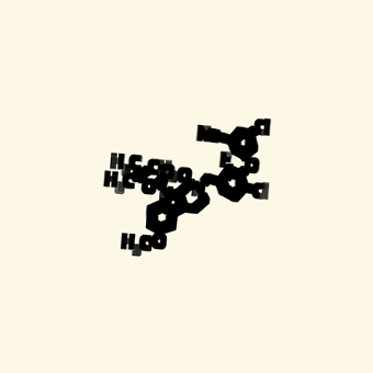 COc1ccc2c(c1)c1c(n2C(=O)OC(C)(C)C)C(=O)N(Cc2ccc(Cl)c(Oc3cc(Cl)cc(C#N)c3)c2F)CC1